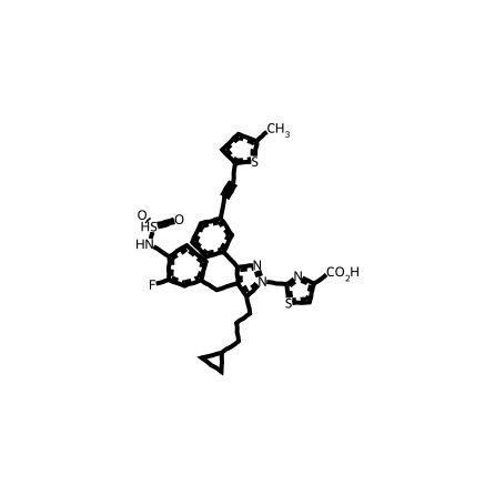 Cc1ccc(C#Cc2cccc(-c3nn(-c4nc(C(=O)O)cs4)c(CCCC4CC4)c3Cc3ccc(N[SH](=O)=O)c(F)c3)c2)s1